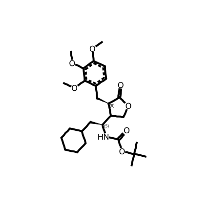 COc1ccc(C[C@H]2C(=O)OCC2[C@H](CC2CCCCC2)NC(=O)OC(C)(C)C)c(OC)c1OC